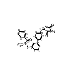 CN(Cc1cccc(-c2ccc(CC3SC(=O)NC3=O)cc2)c1)C(=O)c1cccnc1